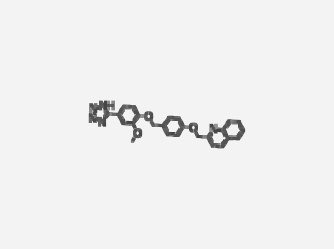 COc1cc(-c2nnn[nH]2)ccc1OCc1ccc(OCc2ccc3ccccc3n2)cc1